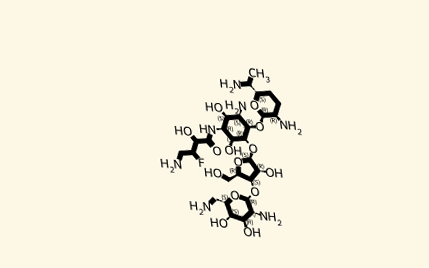 CC(N)[C@@H]1CC[C@@H](N)[C@@H](O[C@@H]2[C@@H](N)[C@H](O)[C@@H](NC(=O)C(O)C(F)CN)[C@H](O)[C@H]2O[C@@H]2O[C@H](CO)[C@@H](O[C@H]3O[C@@H](CN)[C@@H](O)[C@H](O)[C@H]3N)[C@H]2O)O1